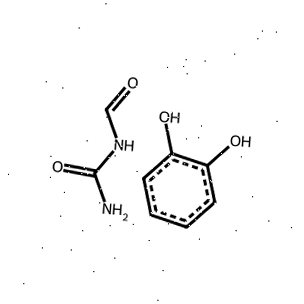 NC(=O)NC=O.Oc1ccccc1O